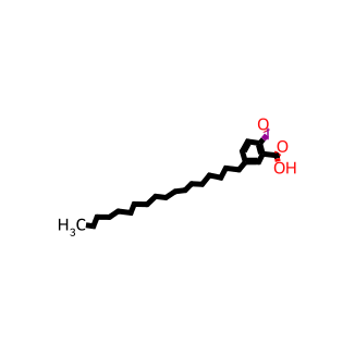 CCCCCCCCCCCCCCCCCCc1ccc(I=O)c(C(=O)O)c1